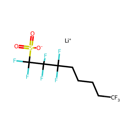 O=S(=O)([O-])C(F)(F)C(F)(F)C(F)(F)CCCCC(F)(F)F.[Li+]